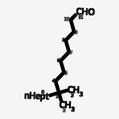 CCCCCCCC(C)(C)CCCCCCCC=O